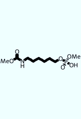 COC(=O)NCCCCCCOP(=O)(O)OC